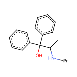 CC(C)NC(C)C(O)(c1ccccc1)c1ccccc1